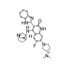 CN(C)[C@H]1CCN(c2cc3[nH]c(=O)c(-c4nc5ccccc5[nH]4)c(N[C@@H]4CN5CCC4CC5)c3cc2F)C1